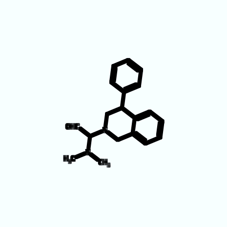 CN(C)C(C=O)N1Cc2ccccc2C(c2ccccc2)C1